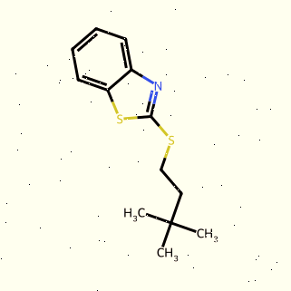 CC(C)(C)CCSc1nc2ccccc2s1